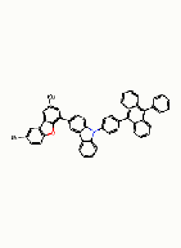 CC(C)(C)c1ccc2oc3c(-c4ccc5c(c4)c4ccccc4n5-c4ccc(-c5c6ccccc6c(-c6ccccc6)c6ccccc56)cc4)cc(C(C)(C)C)cc3c2c1